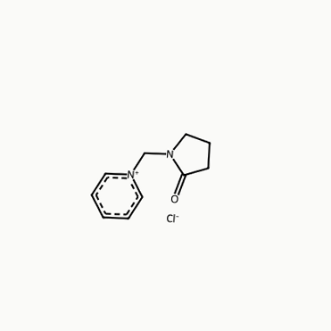 O=C1CCCN1C[n+]1ccccc1.[Cl-]